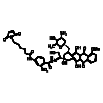 COc1cccc2c1C(=O)c1c(O)c3c(c(O)c1C2=O)C[C@@](O)(/C(CO)=N/NC(=O)c1ccc(NC(=O)CCCCCN2C(=O)C=CC2=O)cc1[N+](=O)[O-])C[C@@H]3C[C@H]1C[C@H](N)[C@H](O)[C@H](C)O1